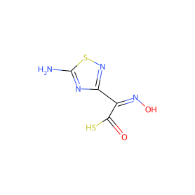 Nc1nc(C(=NO)C(=O)S)ns1